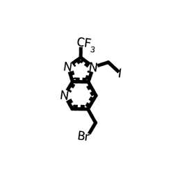 FC(F)(F)c1nc2ncc(CBr)cc2n1CI